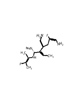 C/C=C(\C(CN)C/C(F)=C\N)[C@@H](NC)N/C(C)=C(\C)F